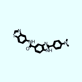 CN(C)c1ccc(-c2nc3cc(C(=O)Nc4ccc5scnc5c4)ccc3[nH]2)cc1